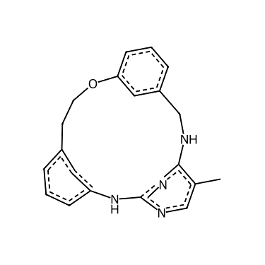 Cc1cnc2nc1NCc1cccc(c1)OCCc1cccc(c1)N2